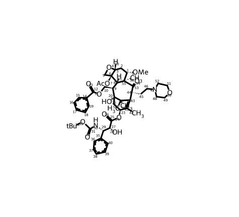 CO[C@H]1C[C@H]2OC[C@@]2(OC(C)=O)[C@H]2[C@H](COC(=O)c3ccccc3)[C@]3(O)C[C@H](OC(=O)[C@H](O)[C@@H](NC(=O)OC(C)(C)C)c4ccccc4)C(C)=C([C@@H](CCN4CCOCC4)C(=O)[C@]12C)C3(C)C